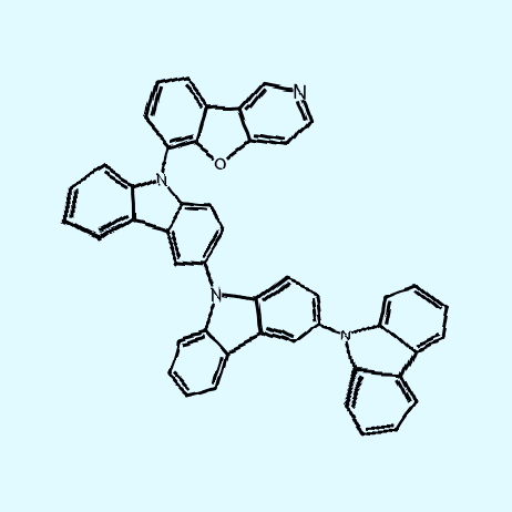 c1cc(-n2c3ccccc3c3cc(-n4c5ccccc5c5cc(-n6c7ccccc7c7ccccc76)ccc54)ccc32)c2oc3ccncc3c2c1